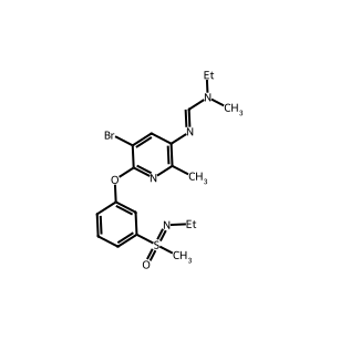 CCN=S(C)(=O)c1cccc(Oc2nc(C)c(N=CN(C)CC)cc2Br)c1